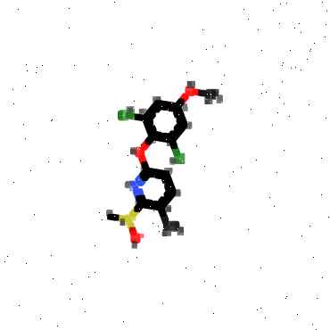 C[S+]([O-])c1nc(Oc2c(Cl)cc(OC(F)(F)F)cc2Cl)ccc1[N+](=O)[O-]